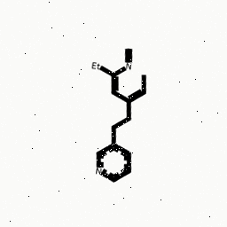 C=N/C(=C\C(=C/C)CCc1cccnc1)CC